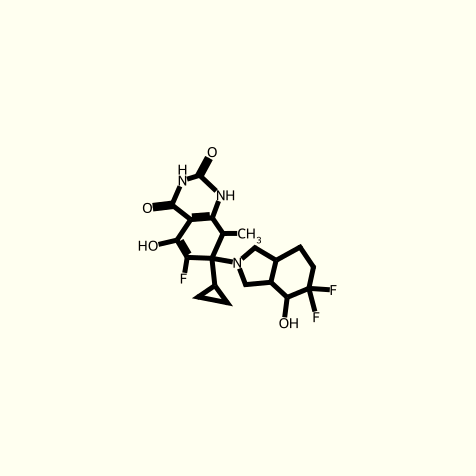 CC1c2[nH]c(=O)[nH]c(=O)c2C(O)=C(F)C1(C1CC1)N1CC2CCC(F)(F)C(O)C2C1